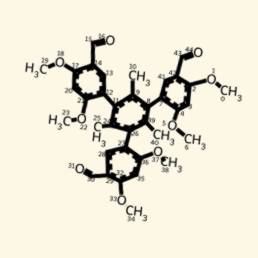 COc1cc(OC)c(-c2c(C)c(-c3cc(C=O)c(OC)cc3OC)c(C)c(-c3cc(C=O)c(OC)cc3OC)c2C)cc1C=O